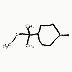 COC(C)(C)C1CCN(I)CC1